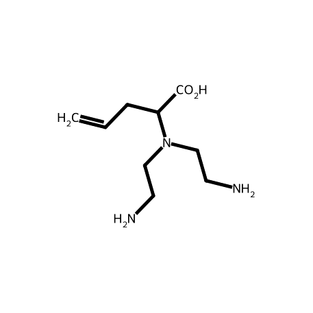 C=CCC(C(=O)O)N(CCN)CCN